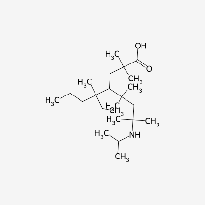 CCCC(C)(CC)C(CC(C)(C)C(=O)O)C(C)(C)CC(C)(C)NC(C)C